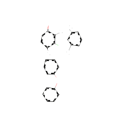 O=[N+]([O-])c1ccc(O)c([N+](=O)[O-])c1Cl.O=[N+]([O-])c1cccc([N+](=O)[O-])c1.c1ccc(Oc2ccccc2)cc1